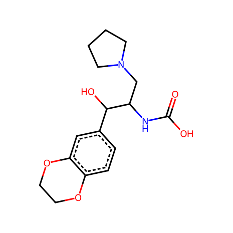 O=C(O)NC(CN1CCCC1)C(O)c1ccc2c(c1)OCCO2